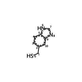 SCc1ccc2[nH]cnc2c1